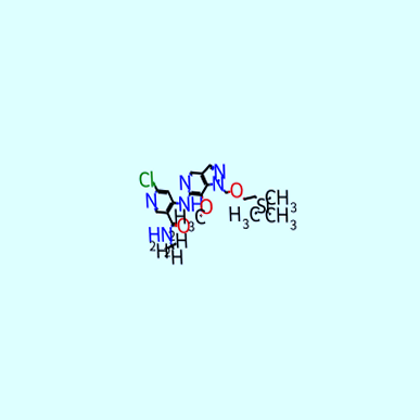 [2H]C([2H])([2H])NC(=O)c1cnc(Cl)cc1Nc1ncc2cnn(COCC[Si](C)(C)C)c2c1OC